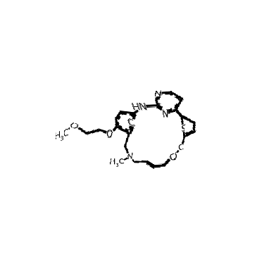 COCCOc1ccc2cc1CN(C)C/C=C/COCC1=CCC(S1)c1ccnc(n1)N2